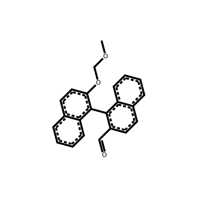 COCOc1ccc2ccccc2c1-c1c(C=O)ccc2ccccc12